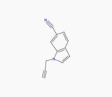 C#CCn1ccc2ccc(C#N)cc21